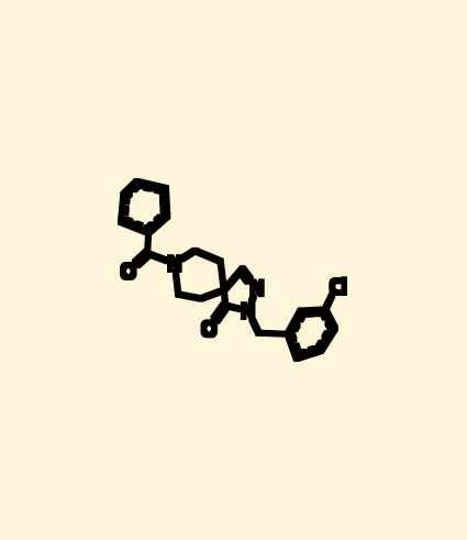 O=C(c1ccccc1)N1CCC2(C=NN(Cc3cccc(Cl)c3)C2=O)CC1